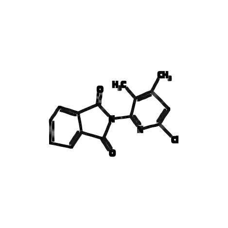 Cc1cc(Cl)nc(N2C(=O)c3ccccc3C2=O)c1C